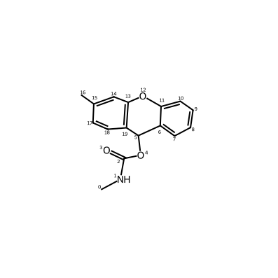 CNC(=O)OC1c2ccccc2Oc2cc(C)ccc21